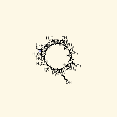 C/C=C/C[C@@H](C)[C@@H](O)[C@H]1C(=O)N[C@@H](CC)C(=O)N(C)CC(=O)N(C)[C@@H]([C@H](C)OCCCCO)C(=O)N[C@@H](C(C)C)C(=O)N(C)[C@@H](CC(C)C)C(=O)N[C@@H](C)C(=O)N[C@H](C)C(=O)N(C)[C@@H](CC(C)C)C(=O)N(C)[C@@H](CC(C)C)C(=O)N(C)[C@@H](C(C)C)C(=O)N1C